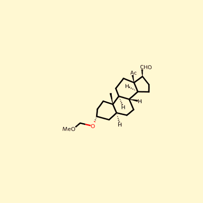 COCO[C@@H]1CC[C@@]2(C)[C@@H](CC[C@@H]3[C@@H]2CC[C@]2(C(C)=O)[C@@H](C=O)CC[C@@H]32)C1